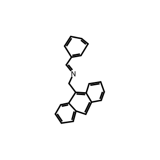 C(=N\Cc1c2ccccc2cc2ccccc12)/c1ccccc1